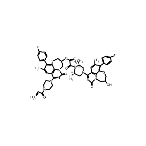 C=CC(=O)N1CCN(c2nc(=O)n3c4c(c(-c5ccc(F)cc5)c(C(F)(F)F)cc24)SCC(OC(=C)C(=O)N2[C@H](C)CN(c4nc(=O)n5c6c(c(-c7ccc(F)cc7)c(C(F)(F)F)cc46)SCC(O)C5)C[C@@H]2C)C3)CC1